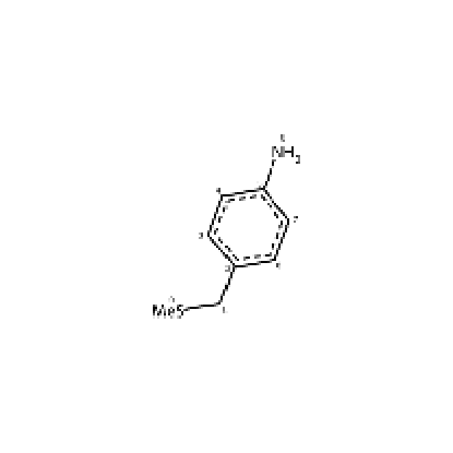 CSCc1ccc(N)cc1